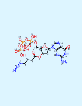 [N-]=[N+]=NCCCC(=O)OC1C[C@H](n2cnc3c(=O)[nH]c(N)nc32)O[C@@H]1COP(=O)(O)OP(=O)(O)OP(=O)(O)O